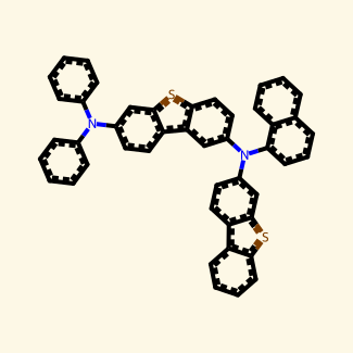 c1ccc(N(c2ccccc2)c2ccc3c(c2)sc2ccc(N(c4ccc5c(c4)sc4ccccc45)c4cccc5ccccc45)cc23)cc1